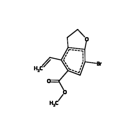 C=Cc1c(C(=O)OC)cc(Br)c2c1CCO2